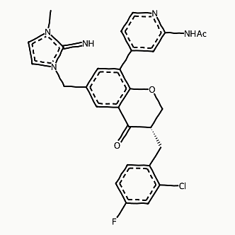 CC(=O)Nc1cc(-c2cc(Cn3ccn(C)c3=N)cc3c2OC[C@H](Cc2ccc(F)cc2Cl)C3=O)ccn1